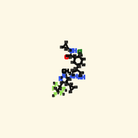 Cn1nc(C(F)(F)C(F)(F)F)c(C2CC2)c1N/C=C(\C=N)c1ccc(Cl)c(C(=O)NC2CC2)c1